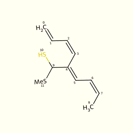 C=C\C=C/C(=C\C=C/C)C(S)SC